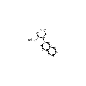 CC(C)(C)OC(=O)N(C[C]=O)c1ccc2ccccc2c1